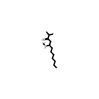 CCCCCCCC(CC(=O)C(C)C)OI